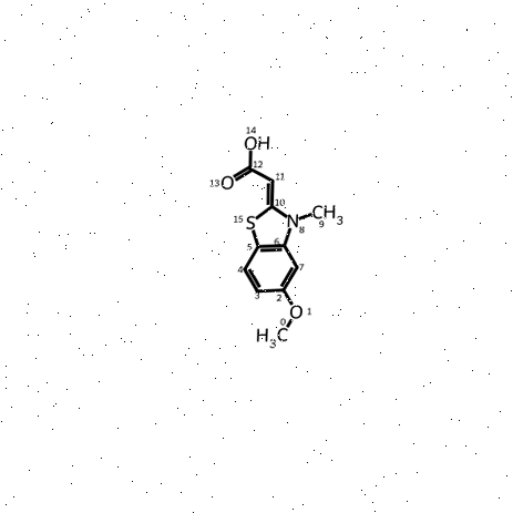 COc1ccc2c(c1)N(C)/C(=C/C(=O)O)S2